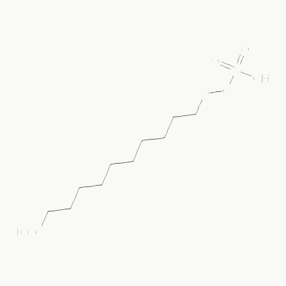 CS(=O)(=O)OOCCCCCCCCCCC(=O)O